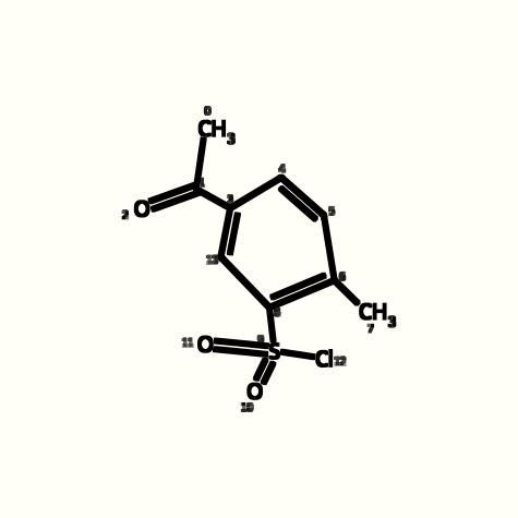 CC(=O)c1ccc(C)c(S(=O)(=O)Cl)c1